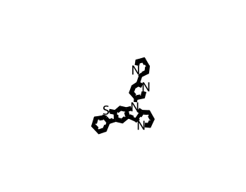 c1ccc(-c2ccc(-n3c4cc5sc6ccccc6c5cc4c4ncccc43)cn2)nc1